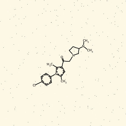 Cc1cc(C(=O)CN2CCC(N(C)C)C2)c(C)n1-c1ccc(Cl)cc1